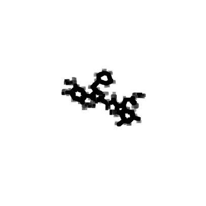 COC(=O)Cc1c(C(=O)Nc2nc(-c3cc(OC)c(Cl)cc3OC)c(CC3CCCCC3)s2)[nH]c2c(C)cc(C)cc12